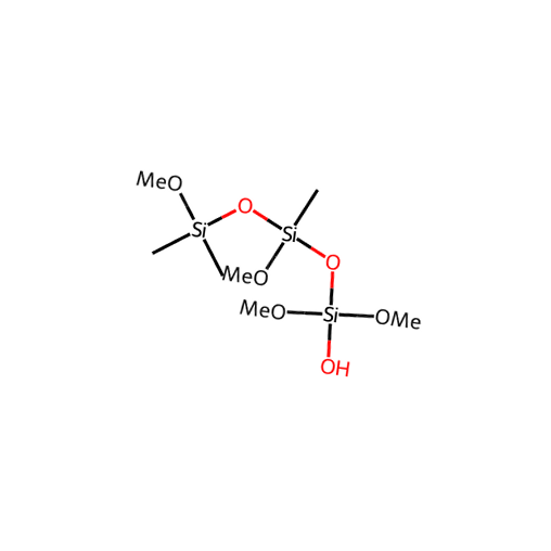 CO[Si](C)(C)O[Si](C)(OC)O[Si](O)(OC)OC